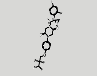 C[C@@H](N1CC(=O)N(c2ccc(OCC(F)(F)C(F)F)cc2)CC1=O)[C@@]1(c2ccc(F)cc2F)CO1